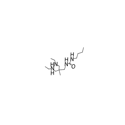 CCCCNC(=O)NCC(C)(CNCC)CNCC